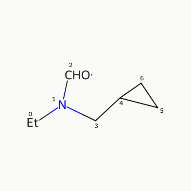 CCN([C]=O)CC1CC1